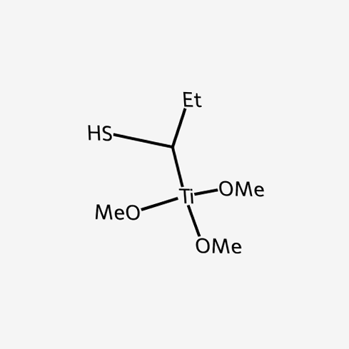 CC[CH](S)[Ti]([O]C)([O]C)[O]C